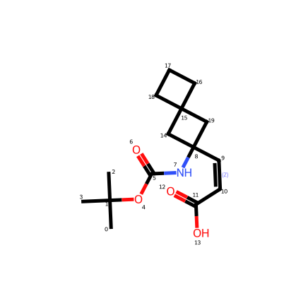 CC(C)(C)OC(=O)NC1(/C=C\C(=O)O)CC2(CCC2)C1